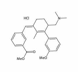 COC(=O)c1cccc(/C=C2/CCC(CN(C)C)C(c3cccc(OC)c3)=C2C)c1.Cl